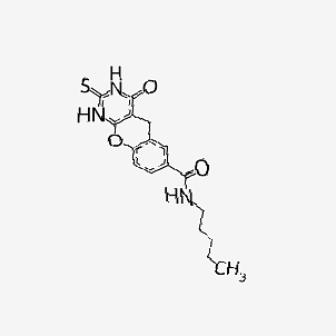 CCCCCNC(=O)c1ccc2c(c1)Cc1c([nH]c(=S)[nH]c1=O)O2